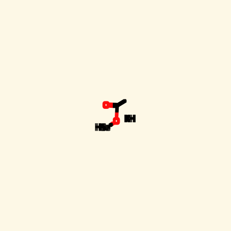 CC(=O)O[SeH].[KH]